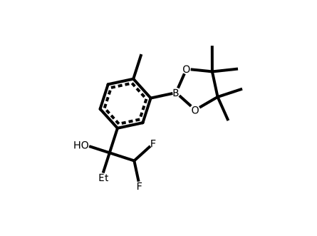 CCC(O)(c1ccc(C)c(B2OC(C)(C)C(C)(C)O2)c1)C(F)F